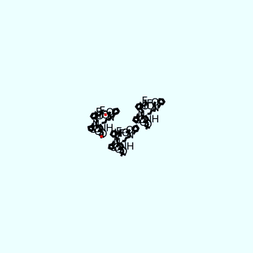 CC(C)(C)OC(=O)N[C@@H](CCCCN(Cc1ccccc1)C(=O)O)C(=O)N(Cc1cccs1)Cc1ccccc1C(F)(F)F.CC(C)(C)OC(=O)N[C@@H](CCCCN(Cc1ccccc1)C(=O)O)C(=O)N(Cc1cccs1)Cc1ccccc1OC(F)(F)F.CC(C)(C)OC(=O)N[C@@H](CCCCN(Cc1ccccc1)C(=O)O)C(=O)N(Cc1cccs1)Cc1ccccc1OC(F)F